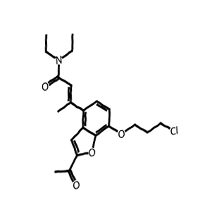 CCN(CC)C(=O)/C=C(\C)c1ccc(OCCCCl)c2oc(C(C)=O)cc12